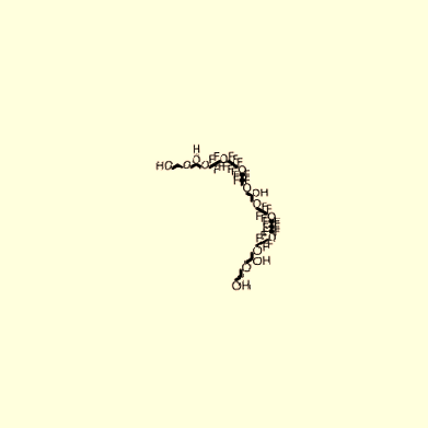 OCCCOCC(O)COCC(F)(F)C(F)(F)OC(F)(F)C(F)(F)C(F)(F)OC(F)(F)C(F)(F)COCC(O)COCC(F)(F)C(F)(F)OC(F)(F)C(F)(F)C(F)(F)OC(F)(F)C(F)(F)COCC(O)COCCCO